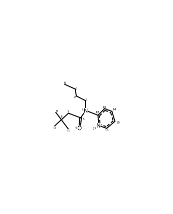 CCCCN(C(=O)CC(C)(C)C)c1ccccn1